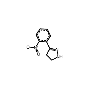 O=[N+]([O-])c1ccccc1C1=NNCC1